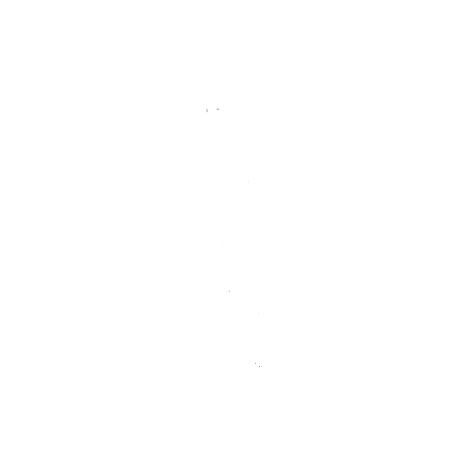 CCCCCCOCCCOCCCCCN